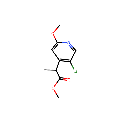 COC(=O)C(C)c1cc(OC)ncc1Cl